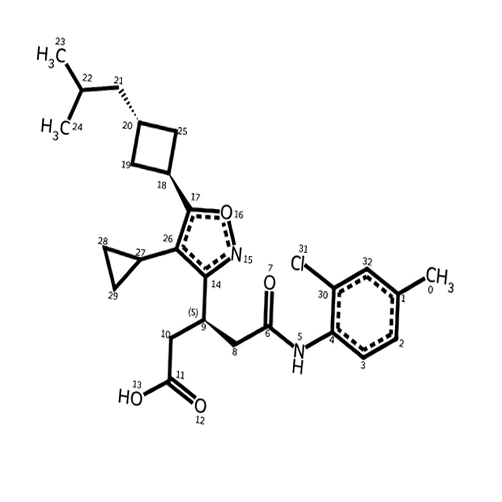 Cc1ccc(NC(=O)C[C@@H](CC(=O)O)c2noc([C@H]3C[C@H](CC(C)C)C3)c2C2CC2)c(Cl)c1